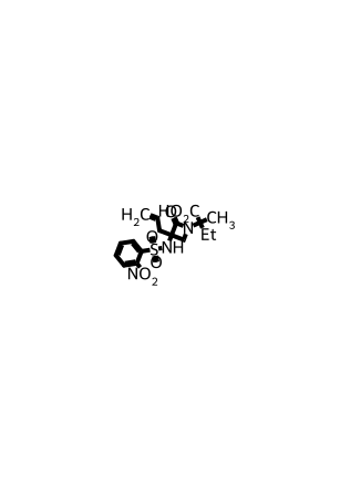 C=CCC1(NS(=O)(=O)c2ccccc2[N+](=O)[O-])CN(C(C)(CC)C(=O)O)C1=O